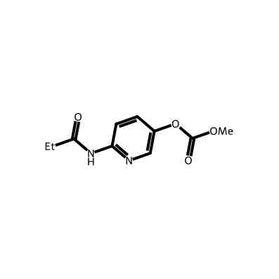 CCC(=O)Nc1ccc(OC(=O)OC)cn1